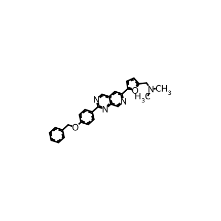 CN(C)Cc1ccc(-c2cc3cnc(-c4ccc(OCc5ccccc5)cc4)nc3cn2)o1